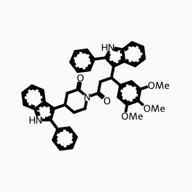 COc1cc(C(CC(=O)N2CCC(c3c(-c4ccccc4)[nH]c4ccccc34)CC2=O)c2c(-c3ccccc3)[nH]c3ccccc23)cc(OC)c1OC